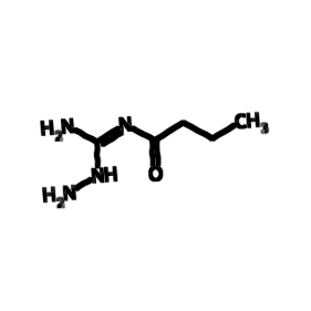 CCCC(=O)N=C(N)NN